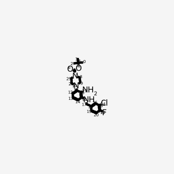 CC(C)(C)OC(=O)N1CCN(c2cccc(NCc3ccc(F)c(Cl)c3)c2N)CC1